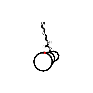 O=C(NCCOCCO)OC12CCCCC(CC1)C1CCCCCCCCCC(CCCC1)C2